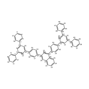 c1ccc(-c2cc(-c3ccccc3)nc(-c3ccc(-c4cc5ccccc5c(-c5ccc(-c6cc(-c7ccccc7)cc(-c7ccccc7)n6)cc5)n4)cc3)c2)cc1